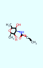 C=CCOC(=O)N[C@H]1C(O)[C@@H](C)OC(C)[C@H]1O